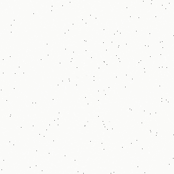 CC[C@@H](NC(=O)c1cc(C(=O)N[C@H](C)c2ccc(F)cc2)c2n1CCOC2)c1ncccn1